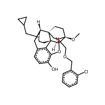 CO[C@]12CC[C@@]3(C[C@@H]1COCc1ccccc1Cl)[C@H]1Cc4ccc(O)c5c4[C@@]3(CCN1CC1CC1)[C@H]2O5